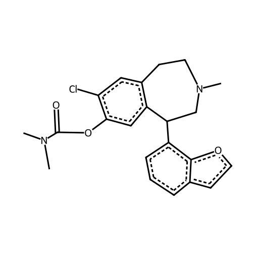 CN1CCc2cc(Cl)c(OC(=O)N(C)C)cc2C(c2cccc3ccoc23)C1